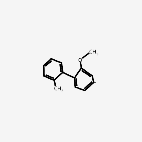 COc1c[c]ccc1-c1ccccc1C